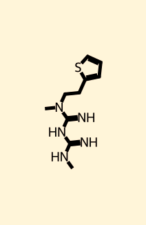 CNC(=N)NC(=N)N(C)CCc1cccs1